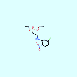 CCOP(=O)(CCNc1cc(F)ccc1[N+](=O)[O-])OCC